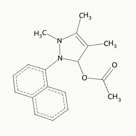 CC(=O)OC1C(C)=C(C)N(C)N1c1cccc2ccccc12